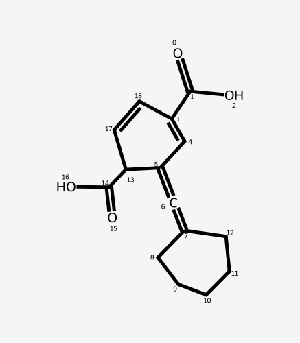 O=C(O)C1=CC(=C=C2CCCCC2)C(C(=O)O)C=C1